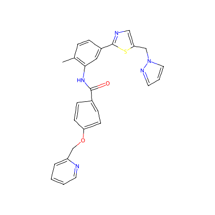 Cc1ccc(-c2ncc(Cn3cccn3)s2)cc1NC(=O)c1ccc(OCc2ccccn2)cc1